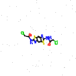 O=C(CCl)Nc1nc2cc3sc(NC(=O)CCl)nc3cc2s1